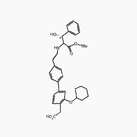 CC(C)(C)OC(=O)C(NCCc1ccc(-c2ccc(CC(=O)O)c(OC3CCCCC3)c2)cc1)[C@H](O)c1ccccc1